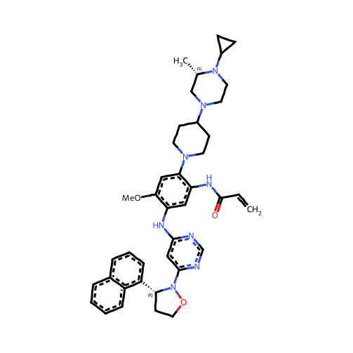 C=CC(=O)Nc1cc(Nc2cc(N3OCC[C@@H]3c3cccc4ccccc34)ncn2)c(OC)cc1N1CCC(N2CCN(C3CC3)[C@@H](C)C2)CC1